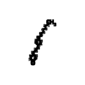 CCCCCCCCCC1CCC(CCCCC2CCC(=O)CC2)CC1